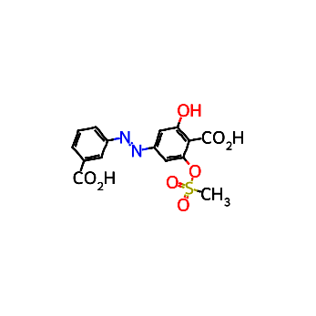 CS(=O)(=O)Oc1cc(N=Nc2cccc(C(=O)O)c2)cc(O)c1C(=O)O